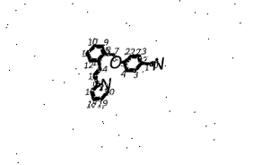 N#Cc1ccc(OCc2ccccc2C=Cc2ccccn2)cc1